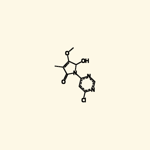 COC1=C(C)C(=O)N(c2cc(Cl)ncn2)C1O